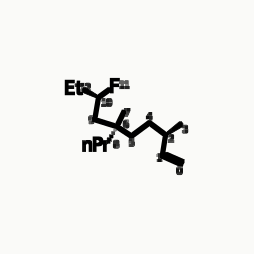 C=C[C@H](C)CC[C@@](C)(CCC)C[C@H](F)CC